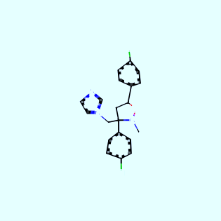 CN1OC(c2ccc(Cl)cc2)CC1(Cn1ccnc1)c1ccc(Cl)cc1